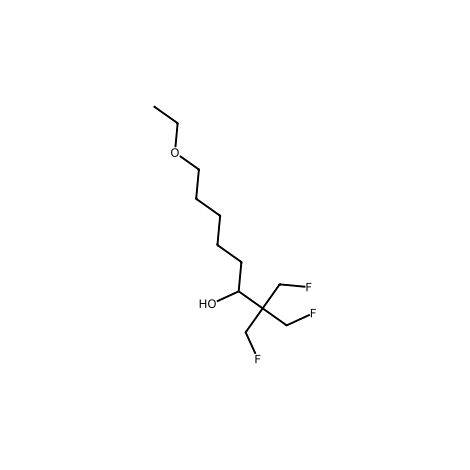 CCOCCCCCC(O)C(CF)(CF)CF